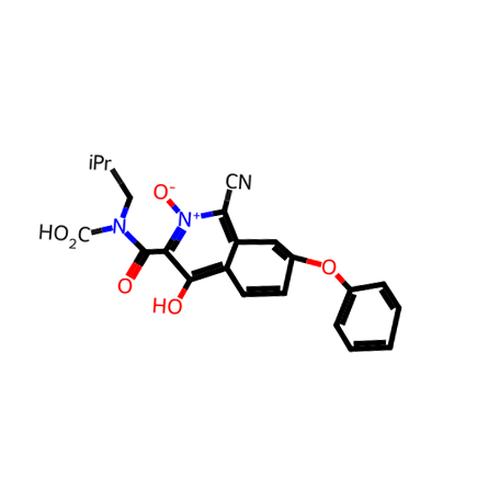 CC(C)CN(C(=O)O)C(=O)c1c(O)c2ccc(Oc3ccccc3)cc2c(C#N)[n+]1[O-]